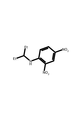 CCC(CC)Nc1ccc([N+](=O)[O-])cc1[N+](=O)[O-]